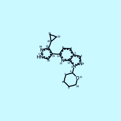 c1cc2cnn(C3CCCCO3)c2nc1-c1c[nH]nc1C1CC1